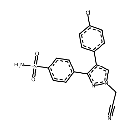 N#CCn1cc(-c2ccc(Cl)cc2)c(-c2ccc(S(N)(=O)=O)cc2)n1